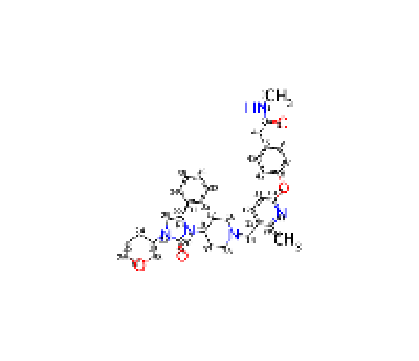 CNC(=O)Cc1ccc(Oc2ccc(CN3CCC(N4C(=O)N(C5CCCOC5)C[C@H]4c4ccccc4)CC3)c(C)n2)cc1